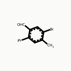 Cc1cc(C(C)C)c(C=O)cc1Br